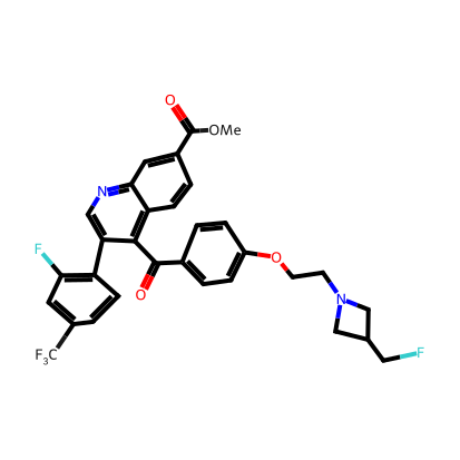 COC(=O)c1ccc2c(C(=O)c3ccc(OCCN4CC(CF)C4)cc3)c(-c3ccc(C(F)(F)F)cc3F)cnc2c1